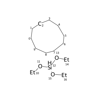 C1CCCCCCCCC1.CCO[SiH](OCC)OCC